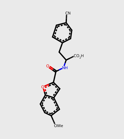 COc1ccc2oc(C(=O)NC(Cc3ccc(C#N)cc3)C(=O)O)cc2c1